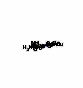 CCCCOc1ccc(OC(=O)/C=C/c2ccc(OCCOC(=O)c3cc(N)cc(N)c3)cc2)cc1